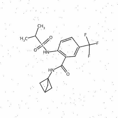 CC(C)S(=O)(=O)Nc1ccc(C(F)(F)F)cc1C(=O)NC12CC(C1)C2